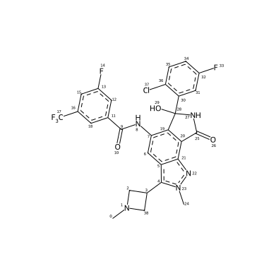 CN1CC(c2c3cc(NC(=O)c4cc(F)cc(C(F)(F)F)c4)c4c(c3nn2C)C(=O)NC4(O)c2cc(F)ccc2Cl)C1